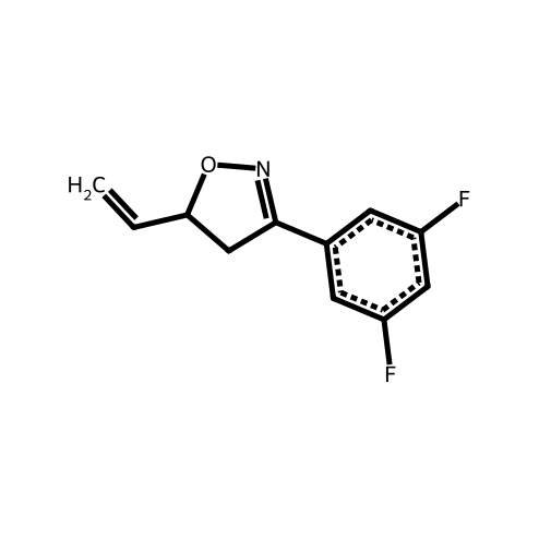 C=CC1CC(c2cc(F)cc(F)c2)=NO1